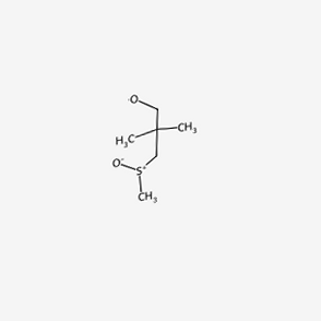 C[S+]([O-])CC(C)(C)C[O]